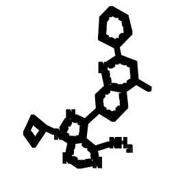 Cc1cc(-c2ccccc2)nc2cc(-c3nn(C4=CC=C4)c4ncnc(N)c34)ccc12